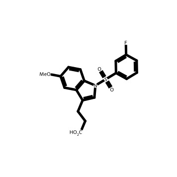 COc1ccc2c(c1)c(CCC(=O)O)cn2S(=O)(=O)c1cccc(F)c1